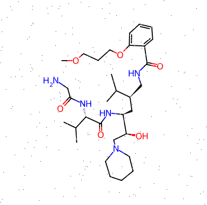 COCCCOc1ccccc1C(=O)NC[C@@H](C[C@H](NC(=O)[C@@H](NC(=O)CN)C(C)C)[C@@H](O)CN1CCCCC1)C(C)C